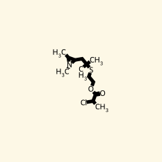 CC(Cl)C(=O)OCCSC(C)(C)CC1C(C)N1C